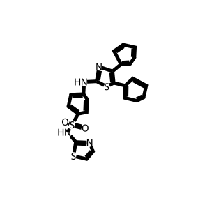 O=S(=O)(Nc1nccs1)c1ccc(Nc2nc(-c3ccccc3)c(-c3ccccc3)s2)cc1